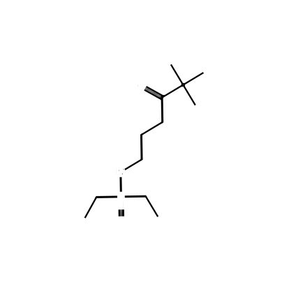 CC[SH](=O)(CC)NCCCC(=O)C(C)(C)C